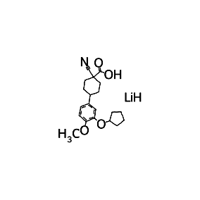 COc1ccc(C2CCC(C#N)(C(=O)O)CC2)cc1OC1CCCC1.[LiH]